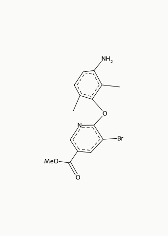 COC(=O)c1cnc(Oc2c(C)ccc(N)c2C)c(Br)c1